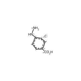 NNc1ccc(C(=O)O)cc1.[C]